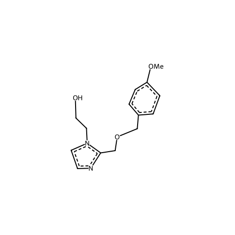 COc1ccc(COCc2nccn2CCO)cc1